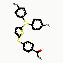 CC(=O)c1ccc(Sc2ccc([S+](c3ccc(C)cc3)c3ccc(C)cc3)s2)cc1